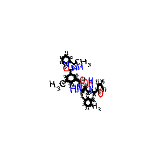 Cc1cc(C(=O)NC(C)c2ccccn2)cc(C(=O)N[C@@H](Cc2ccccc2)[C@H](O)CNC(C)c2ccco2)c1